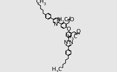 CCCCCCc1ccc(-c2cnc(-c3ccc(Oc4ccc(-c5ncc(-c6ccc(CCCCCC)cc6)cn5)cc4C[C@]4(C)CO4)c(C[C@]4(C)CO4)c3)nc2)cc1